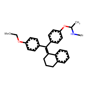 COCOc1ccc(C(=C2CCCc3ccccc32)c2ccc(OC(C)NC(C)C)cc2)cc1